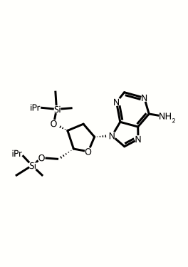 CC(C)[Si](C)(C)OC[C@H]1O[C@@H](n2cnc3c(N)ncnc32)C[C@H]1O[Si](C)(C)C(C)C